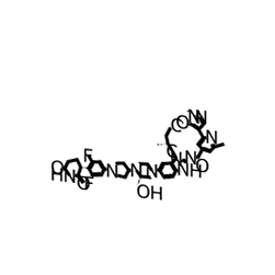 Cc1cc2cc(n1)-c1cnn(C)c1OCCC[C@@H](C)CN1/C(=N/C2=O)Nc2ccc(N3CCN(C4CCN(c5cc(F)c([C@H]6CCC(=O)NC6=O)c(F)c5)CC4)[C@@H](CO)C3)cc21